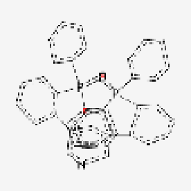 O=P(c1ccccc1)(c1ccccc1)c1ccccc1-c1cncc(-c2ccccc2P(=O)(c2ccccc2)c2ccccc2)c1